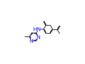 C=C(C)C1=CC=C(Nc2cc(C)ncn2)C(=C)C1